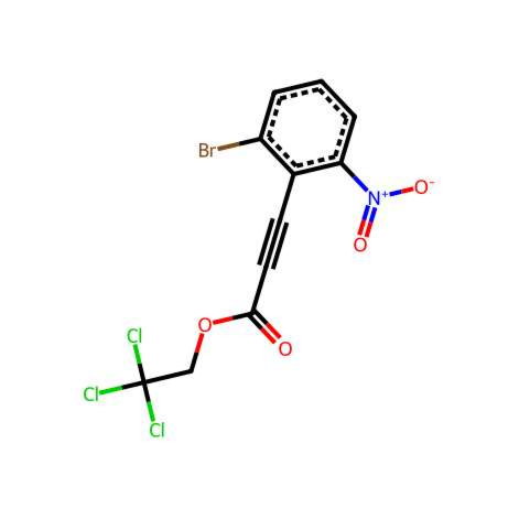 O=C(C#Cc1c(Br)cccc1[N+](=O)[O-])OCC(Cl)(Cl)Cl